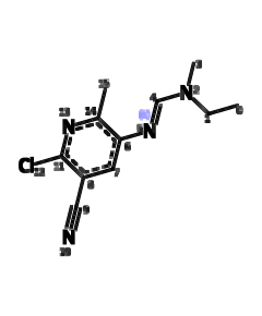 CCN(C)/C=N/c1cc(C#N)c(Cl)nc1C